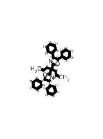 C=CCC(CC=C)(C1=NC(c2ccccc2)C(c2ccccc2)O1)C1=N[C@H](c2ccccc2)[C@H](c2ccccc2)O1